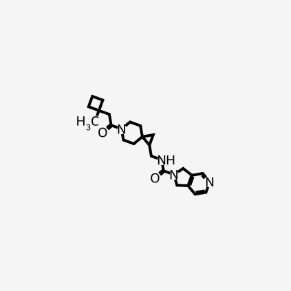 CC1(CC(=O)N2CCC3(CC2)CC3CNC(=O)N2Cc3ccncc3C2)CCC1